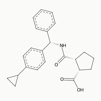 O=C(O)[C@H]1CCC[C@H]1C(=O)N[C@@H](c1ccccc1)c1ccc(C2CC2)cc1